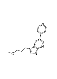 COCCCn1cnc2ncc(-c3ccncc3)cc21